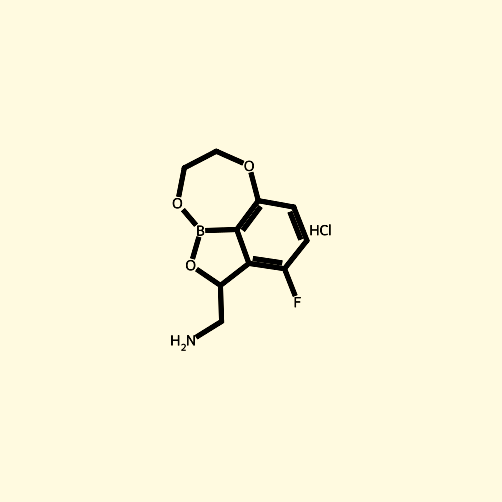 Cl.NCC1OB2OCCOc3ccc(F)c1c32